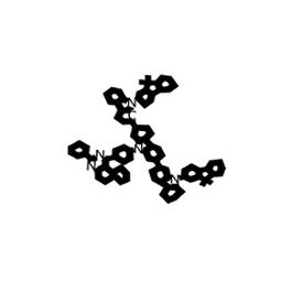 CC1(C)c2ccccc2-c2ccc(-n3c4ccccc4c4ccc(-c5ccc6c7ccc(-c8ccc9c%10ccccc%10n(-c%10ccc%11c(c%10)C(C)(C)c%10ccccc%10-%11)c9c8)cc7n(-c7ccc(-c8nc(-c9ccccc9)nc9ccc%10ccccc%10c89)cc7)c6c5)cc43)cc21